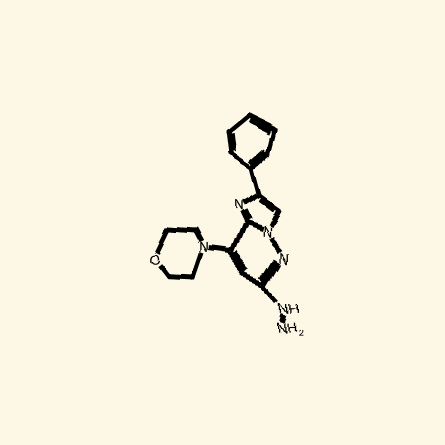 NNc1cc(N2CCOCC2)c2nc(-c3ccccc3)cn2n1